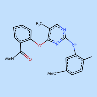 CNC(=O)c1ccccc1Oc1nc(Nc2cc(OC)ccc2C)ncc1C(F)(F)F